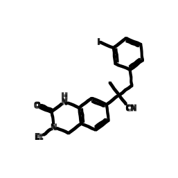 CCN1Cc2ccc(C(C)(C#N)Cc3cccc(I)c3)cc2NC1=O